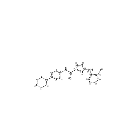 O=C(Nc1ccc(N2CCOCC2)cc1)c1nnc(Nc2ccccc2I)o1